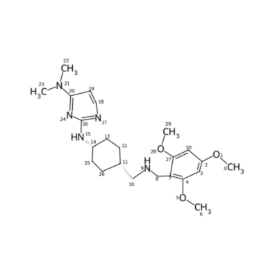 COc1cc(OC)c(CNC[C@H]2CC[C@@H](Nc3nccc(N(C)C)n3)CC2)c(OC)c1